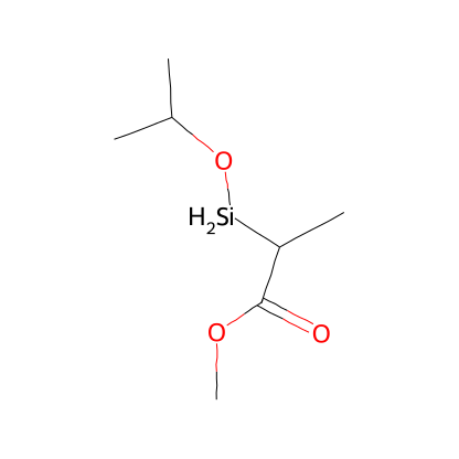 COC(=O)C(C)[SiH2]OC(C)C